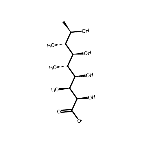 C[C@@H](O)[C@@H](O)[C@@H](O)[C@@H](O)[C@@H](O)[C@H](O)[C@@H](O)C([O])=O